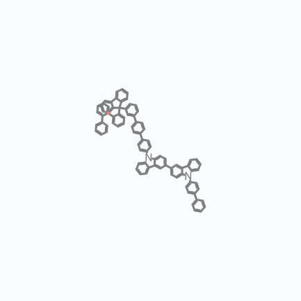 c1ccc(-c2ccc(-n3c4ccccc4c4cc(-c5ccc6c(c5)c5ccccc5n6-c5ccc(-c6ccc(-c7cccc(C8(c9ccccc9-c9ccccc9-c9ccccc9)c9ccccc9-c9ccccc98)c7)cc6)cc5)ccc43)cc2)cc1